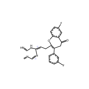 C=N/C=N\C(=C/CC1=C(c2cccc(F)c2)CC(=O)c2cc(F)ccc2O1)NC=N